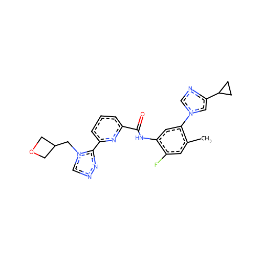 Cc1cc(F)c(NC(=O)c2cccc(-c3nncn3CC3COC3)n2)cc1-n1cnc(C2CC2)c1